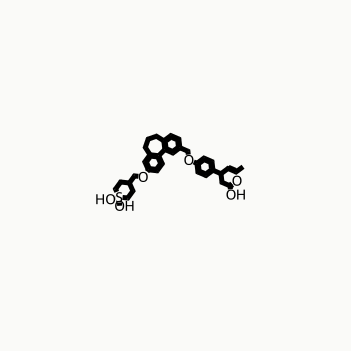 C/C=C/C(CC(=O)O)c1ccc(OCc2ccc3c(c2)-c2ccc(OCC4CCS(O)(O)CC4)cc2CCC3)cc1